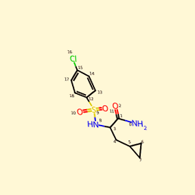 NC(=O)C(CC1CC1)NS(=O)(=O)c1ccc(Cl)cc1